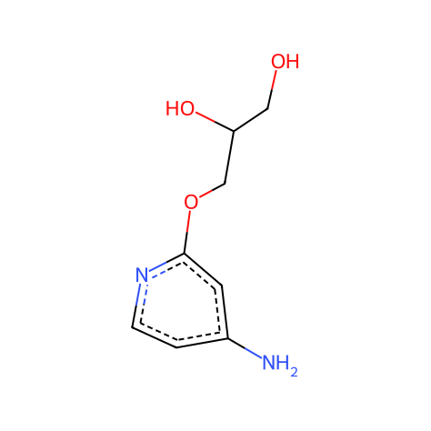 Nc1ccnc(OCC(O)CO)c1